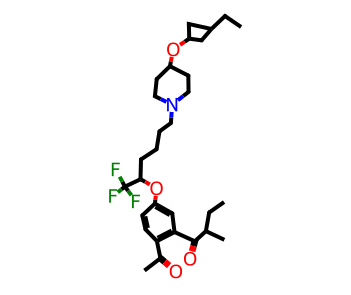 CCC1CC(OC2CCN(CCCCC(Oc3ccc(C(C)=O)c(C(=O)C(C)CC)c3)C(F)(F)F)CC2)C1